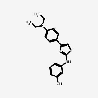 CCN(CC)c1ccc(-c2csc(Nc3cccc(O)c3)n2)cc1